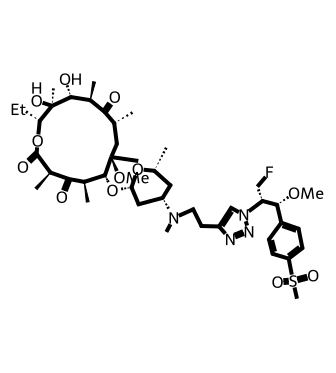 CC[C@H]1OC(=O)[C@H](C)C(=O)[C@H](C)[C@@H](O[C@H]2C[C@@H](N(C)CCc3cn([C@H](CF)[C@H](OC)c4ccc(S(C)(=O)=O)cc4)nn3)C[C@@H](C)O2)[C@](C)(OC)C[C@@H](C)C(=O)[C@H](C)[C@@H](O)[C@]1(C)O